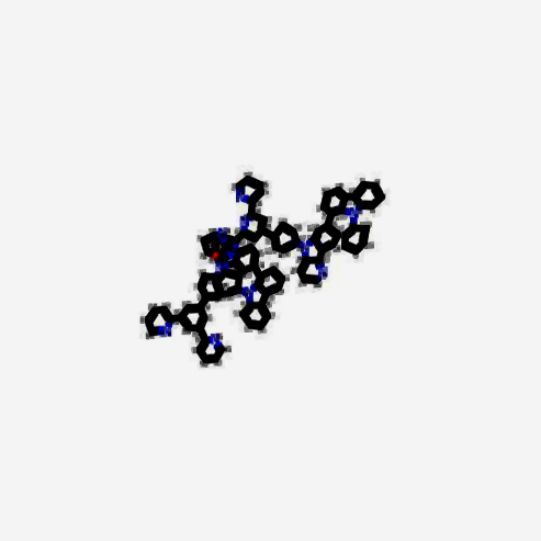 c1ccc(-n2c3ccccc3c3cccc(-c4ccc5c6ncccc6n(-c6ccc(-c7cc(-c8ccccn8)nc(-c8cccc(-c9cccc(-n%10c%11ccccc%11c%11cccc(-c%12ccc%13c%14ncccc%14n(-c%14ccc(-c%15cc(-c%16ccccn%16)cc(-c%16ccccn%16)c%15)cc%14)c%13c%12)c%11%10)c9)n8)c7)cc6)c5c4)c32)cc1